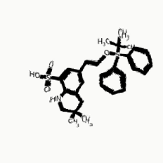 CC1(C)CNc2c(cc(CCO[Si](c3ccccc3)(c3ccccc3)C(C)(C)C)cc2S(=O)(=O)O)C1